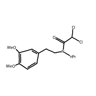 CCCN(CCc1ccc(OC)c(OC)c1)C(=O)C(Cl)Cl